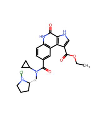 CCOC(=O)c1c[nH]c2c(=O)[nH]c3ccc(C(=O)N(C[C@@H]4CCCN4Cl)C4CC4)cc3c12